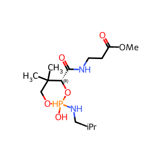 COC(=O)CCNC(=O)[C@@H]1O[PH](O)(NCC(C)C)OCC1(C)C